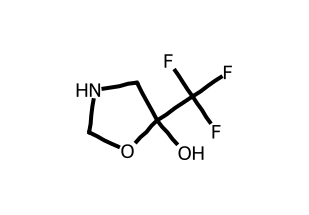 OC1(C(F)(F)F)CNCO1